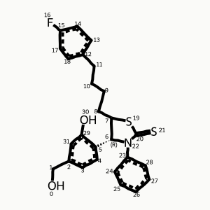 OCc1ccc([C@@H]2C(CCCCc3ccc(F)cc3)SC(=S)N2c2ccccc2)c(O)c1